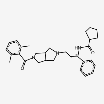 Cc1cccc(C)c1C(=O)N1CC2CN(CC[C@@H](NC(=O)C3CCCC3)c3ccccc3)CC2C1